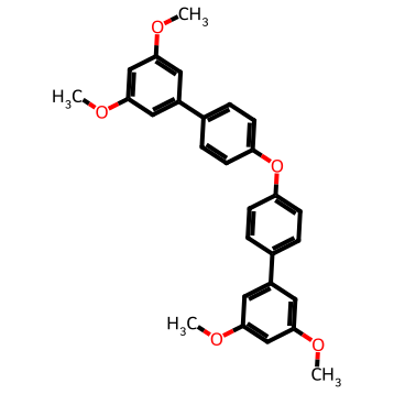 COc1cc(OC)cc(-c2ccc(Oc3ccc(-c4cc(OC)cc(OC)c4)cc3)cc2)c1